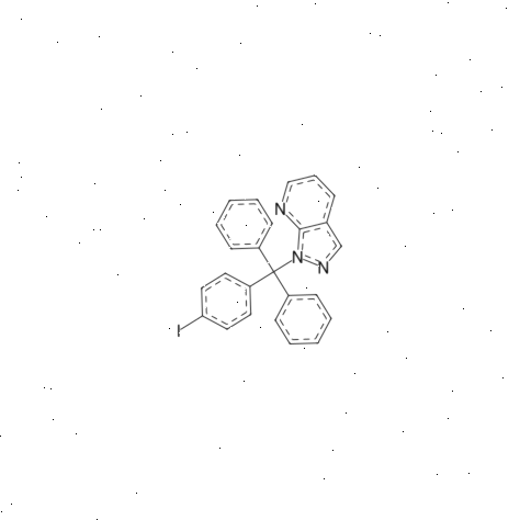 Ic1ccc(C(c2ccccc2)(c2ccccc2)n2ncc3cccnc32)cc1